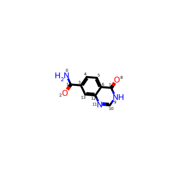 NC(=O)c1ccc2c(=O)[nH]cnc2c1